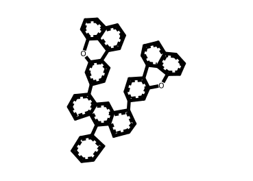 c1ccc(-c2c3cccc(-c4ccc5c(c4)Oc4cccc6cccc-5c46)c3cc3c(-c4ccc5c(c4)Oc4cccc6cccc-5c46)cccc23)cc1